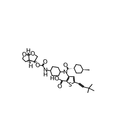 CC(C)(C)C#Cc1cc(N(C(=O)[C@H]2CC[C@H](C)CC2)C2CCC(NC(=O)O[C@H]3CO[C@H]4OCC[C@H]43)CC2)c(C(=O)O)s1